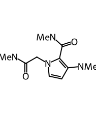 CNC(=O)Cn1ccc(NC)c1C(=O)NC